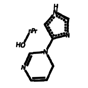 C1=CN=CN(c2c[nH]cn2)C1.CCCO